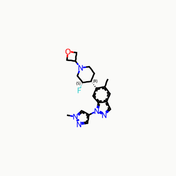 Cc1cc2cnn(-c3cnn(C)c3)c2cc1[C@H]1CCN(C2COC2)C[C@H]1F